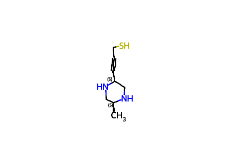 C[C@H]1CN[C@@H](C#CCS)CN1